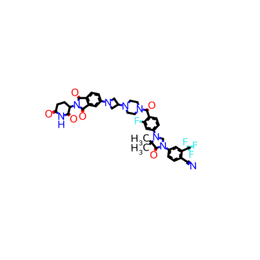 CC1(C)C(=O)N(c2ccc(C#N)c(C(F)(F)F)c2)CN1c1ccc(C(=O)N2CCN(C3CN(c4ccc5c(c4)C(=O)N(C4CCC(=O)NC4=O)C5=O)C3)CC2)c(F)c1